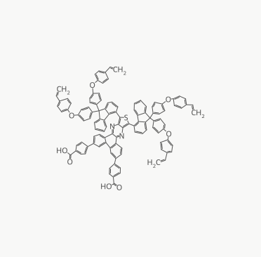 C=Cc1ccc(Oc2ccc(C3(c4ccc(Oc5ccc(C=C)cc5)cc4)c4ccccc4-c4c(-c5sc(-c6cccc7c6-c6ccccc6C7(c6ccc(Oc7ccc(C=C)cc7)cc6)c6ccc(Oc7ccc(C=C)cc7)cc6)c6nc7c8ccc(-c9ccc(C(=O)O)cc9)cc8c8cc(-c9ccc(C(=O)O)cc9)ccc8c7nc56)cccc43)cc2)cc1